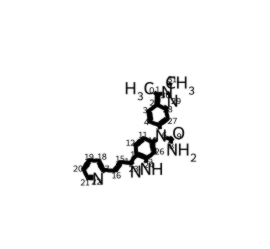 Cc1c2ccc(N(C(N)=O)c3ccc4c(/C=C/c5ccccn5)n[nH]c4c3)cc2nn1C